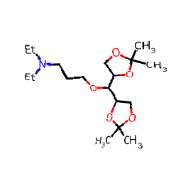 CCN(CC)CCCOC(C1COC(C)(C)O1)C1COC(C)(C)O1